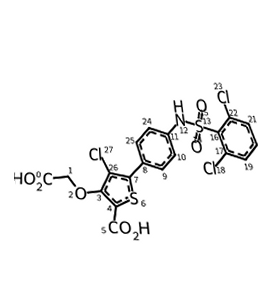 O=C(O)COc1c(C(=O)O)sc(-c2ccc(NS(=O)(=O)c3c(Cl)cccc3Cl)cc2)c1Cl